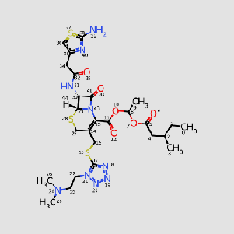 CCC(C)CC(=O)OC(C)OC(=O)C1=C(CSc2nnnn2CCN(C)C)CS[C@@H]2[C@H](NC(=O)Cc3csc(N)n3)C(=O)N12